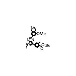 COc1cc(-c2cnc3c(n2)c(-c2ccc(C(=O)OC(C)(C)C)c(C)c2)cn3SI)cc2c1CCN(C)C2